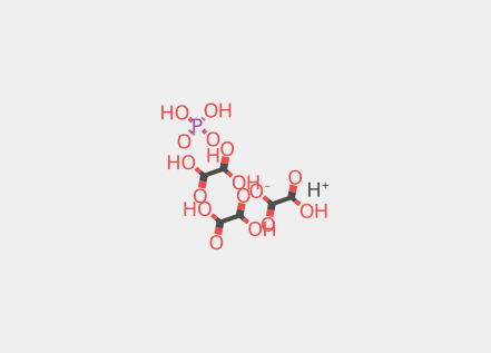 O=C(O)C(=O)O.O=C(O)C(=O)O.O=C([O-])C(=O)O.O=P(O)(O)O.[H+]